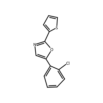 Clc1ccccc1-c1cnc(-c2cccs2)o1